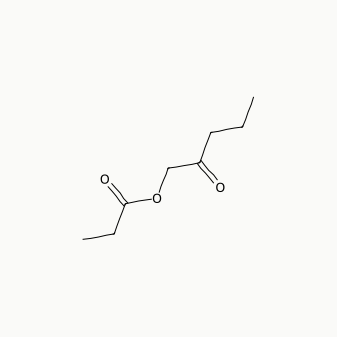 CCCC(=O)COC(=O)CC